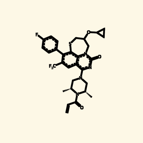 C=CC(=O)N1[C@H](C)CN(c2nc(=O)n3c4c(c(-c5ccc(F)cc5)c(C(F)(F)F)cc24)SCC(OC2CC2)C3)C[C@@H]1C